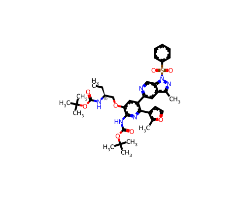 CC[C@@H](COc1cc(-c2cc3c(C)nn(S(=O)(=O)c4ccccc4)c3cn2)c(-c2ccoc2C)nc1NC(=O)OC(C)(C)C)NC(=O)OC(C)(C)C